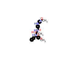 COc1ccc(C(NCC(O)CNC(=O)c2ccc(NC3CCN(C(C)=O)CC3)cc2)C2Cc3ccccc3C2)c(OC)c1